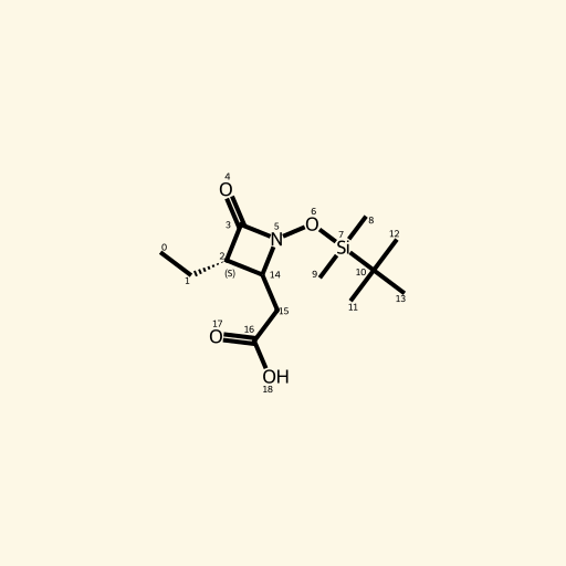 CC[C@@H]1C(=O)N(O[Si](C)(C)C(C)(C)C)C1CC(=O)O